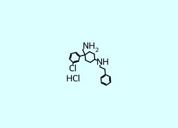 Cl.NCC1(c2cccc(Cl)c2)CCC(NCCc2ccccc2)CC1